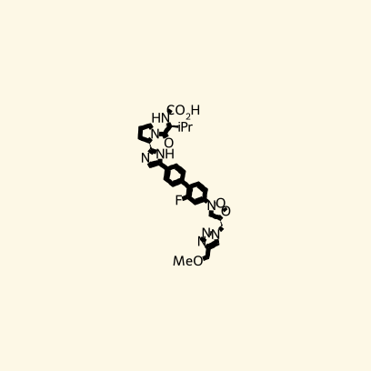 COCc1cn(C[C@@H]2CN(c3ccc(-c4ccc(-c5cnc([C@@H]6CCCN6C(=O)[C@@H](NC(=O)O)C(C)C)[nH]5)cc4)c(F)c3)OO2)nn1